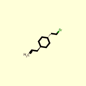 C=CC[C@H]1CC[C@H](CCBr)CC1